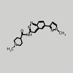 CN1CCC(C(=O)Nc2cc3cc(-c4ccn(C)n4)ccc3nn2)CC1